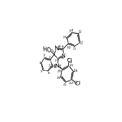 OC1(c2ccccc2)N=C(c2ccccc2)N=C1Nc1ccc(Cl)cc1Cl